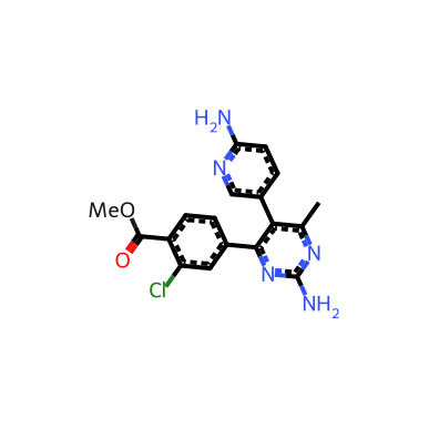 COC(=O)c1ccc(-c2nc(N)nc(C)c2-c2ccc(N)nc2)cc1Cl